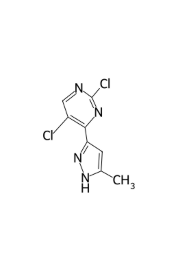 Cc1cc(-c2nc(Cl)ncc2Cl)n[nH]1